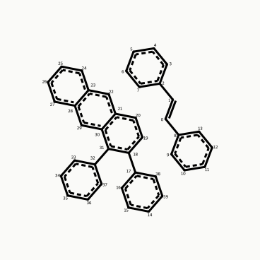 C(=Cc1ccccc1)c1ccccc1.c1ccc(-c2ccc3cc4ccccc4cc3c2-c2ccccc2)cc1